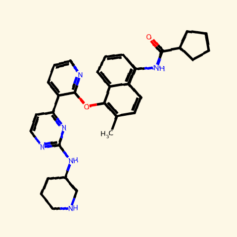 Cc1ccc2c(NC(=O)C3CCCC3)cccc2c1Oc1ncccc1-c1ccnc(NC2CCCNC2)n1